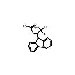 CC(C)(C)C(NC(=O)O)C1c2ccccc2-c2ccccc21